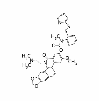 COc1cc2c(cc1OC(=O)N(C)c1ccccc1SSc1ccccn1)c(=O)n(CCN(C)C)c1c3cc4c(cc3ccc21)OCO4